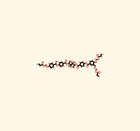 C=CC(=O)OCOCc1cc(C(=O)Oc2ccc(C(=O)O[C@H]3CO[C@H]4[C@@H]3OC[C@H]4OC(=O)c3ccc(OC(=O)c4ccc(OCOC(=O)C=C)cc4)cc3)cc2)ccc1OCOC(=O)C=C